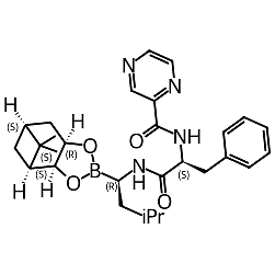 CC(C)C[C@H](NC(=O)[C@H](Cc1ccccc1)NC(=O)c1cnccn1)B1O[C@H]2[C@H]3C[C@@H](C[C@H]2O1)C3(C)C